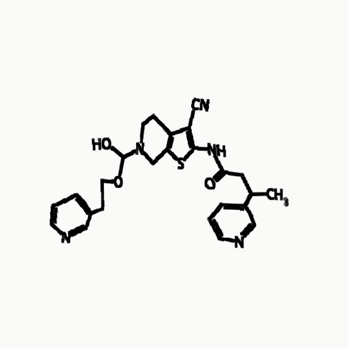 CC(CC(=O)Nc1sc2c(c1C#N)CCN(C(O)OCCc1cccnc1)C2)c1cccnc1